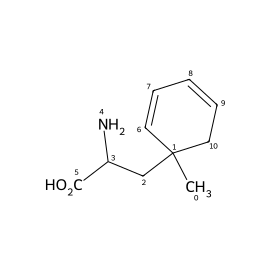 CC1(CC(N)C(=O)O)C=CC=CC1